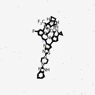 O=C(Cn1nc(C(F)(F)F)c2c1C(F)(F)[C@@H]1CC[C@H]21)N/C(=C\c1cc(F)cc(F)c1)c1nc2nc(N3CCN(c4nc5ccccc5[nH]4)CC3)sc2cc1-c1ccc2c(c1)C(=O)NC21CC1